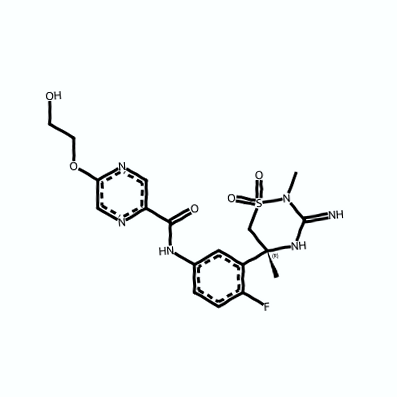 CN1C(=N)N[C@](C)(c2cc(NC(=O)c3cnc(OCCO)cn3)ccc2F)CS1(=O)=O